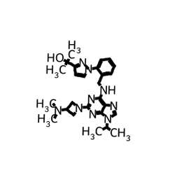 CC(C)n1cnc2c(NCc3ccccc3-n3ccc(C(C)(C)O)n3)nc(N3CC(N(C)C)C3)nc21